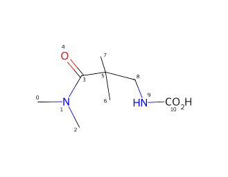 CN(C)C(=O)C(C)(C)CNC(=O)O